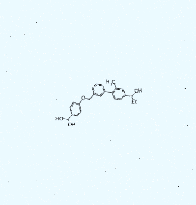 CCC(O)c1ccc(-c2cccc(COc3ccc(C(O)O)cc3)c2)c(C)c1